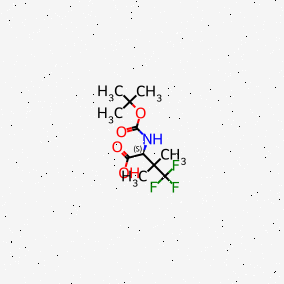 CC(C)(C)OC(=O)N[C@H](C(=O)O)C(C)(C)C(F)(F)F